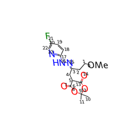 COCC/C(CC1C(=O)OC(C)(C)OC1=O)=N/Nc1ccc(F)cn1